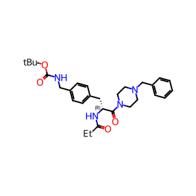 CCC(=O)N[C@H](Cc1ccc(CNC(=O)OC(C)(C)C)cc1)C(=O)N1CCN(Cc2ccccc2)CC1